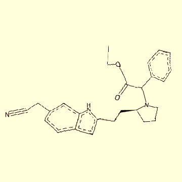 CCOC(=O)C(c1ccccc1)N1CCC[C@H]1CCc1cc2ccc(CC#N)cc2[nH]1